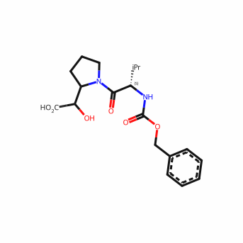 CC(C)[C@H](NC(=O)OCc1ccccc1)C(=O)N1CCCC1C(O)C(=O)O